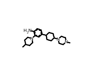 CC1CCN(c2cc(C3CCC(N4CCN(C)CC4)CC3)ccc2N)CC1